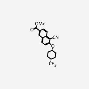 COC(=O)c1ccc2c(C#N)c(O[C@H]3CC[C@@H](C(F)(F)F)CC3)ccc2c1